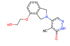 N#Cc1c(N2Cc3cccc(OCCO)c3C2)cn[nH]c1=O